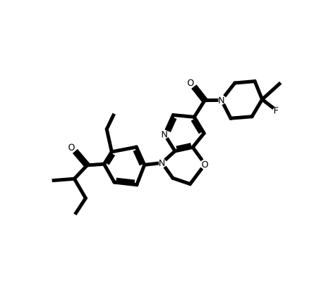 CCc1cc(N2CCOc3cc(C(=O)N4CCC(C)(F)CC4)cnc32)ccc1C(=O)C(C)CC